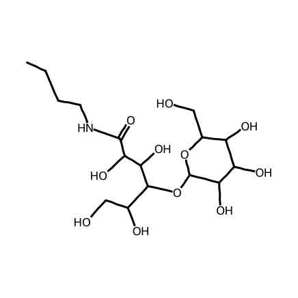 CCCCNC(=O)C(O)C(O)C(OC1OC(CO)C(O)C(O)C1O)C(O)CO